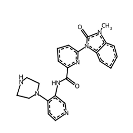 Cn1c(=O)n(-c2cccc(C(=O)Nc3cnccc3N3CCNCC3)n2)c2ccccc21